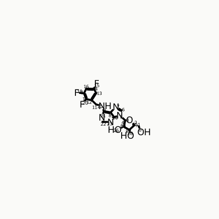 OC[C@H]1OC(n2cnc3c(NCc4cc(F)cc(F)c4F)ncnc32)[C@H](O)[C@@H]1O